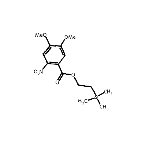 COc1cc(C(=O)OCC[Si](C)(C)C)c([N+](=O)[O-])cc1OC